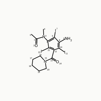 CC(=O)N(C)c1c(I)c(N)c(I)c(C(=O)N2CCCCC2)c1I